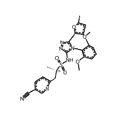 COc1cccc(OC)c1-n1c(NS(=O)(=O)[C@@H](C)Cc2ccc(C#N)cn2)nnc1-c1ccc(C)o1